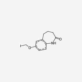 O=C1CCCc2cc(OCI)ccc2N1